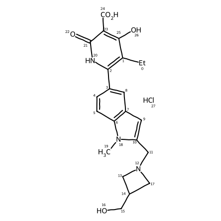 CCc1c(-c2ccc3c(c2)cc(CN2CC(CO)C2)n3C)[nH]c(=O)c(C(=O)O)c1O.Cl